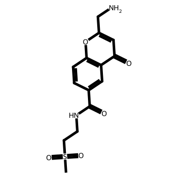 CS(=O)(=O)CCNC(=O)c1ccc2oc(CN)cc(=O)c2c1